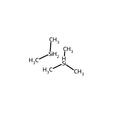 C[SiH2]C.C[SiH](C)C